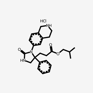 CC(C)COC(=O)CCC1(c2ccccc2)CNC(=O)N1c1ccc2c(c1)CCNC2.Cl